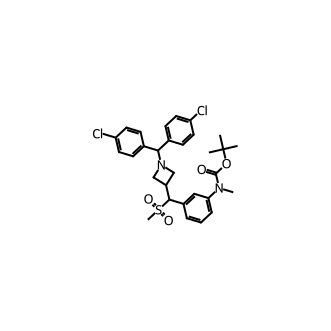 CN(C(=O)OC(C)(C)C)c1cccc(C(C2CN(C(c3ccc(Cl)cc3)c3ccc(Cl)cc3)C2)S(C)(=O)=O)c1